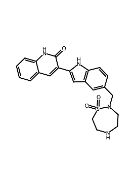 O=c1[nH]c2ccccc2cc1-c1cc2cc(CN3CCNCCS3(=O)=O)ccc2[nH]1